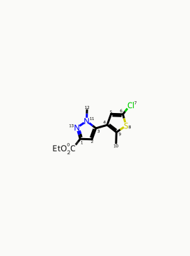 CCOC(=O)c1cc(-c2cc(Cl)sc2C)n(C)n1